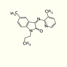 CCCN1C(=O)/C(=N\c2ncccc2C)c2cc(C)ccc21